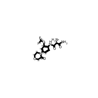 NC(=O)[C@H](N)C(=O)Nc1ccc(N2CCOCC2=O)cc1OC(F)F